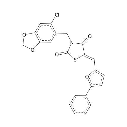 O=C1S/C(=C\c2ccc(-c3ccccc3)o2)C(=O)N1Cc1cc2c(cc1Cl)OCO2